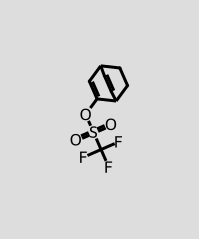 O=S(=O)(OC1=CC2C=CC1CC2)C(F)(F)F